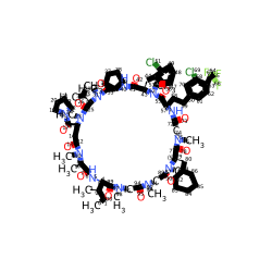 CC[C@H](C)[C@@H]1NC(=O)[C@H](C)N(C)C(=O)C[C@@H](C(=O)N2CCCC2)N(C)C(=O)[C@H](C(C)C)N(C)C(=O)C2(CCCC2)NC(=O)[C@H](Cc2ccccc2Cl)N(CC)C(=O)C(CCc2ccc(C(F)(F)F)c(Cl)c2)NC(=O)CN(C)C(=O)[C@H](CC2CCCCC2)N(C)C(=O)CN(C)C(=O)CN(C)C1=O